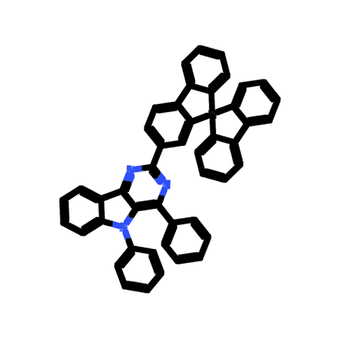 c1ccc(-c2nc(-c3ccc4c(c3)[Si]3(c5ccccc5-c5ccccc53)c3ccccc3-4)nc3c4ccccc4n(-c4ccccc4)c23)cc1